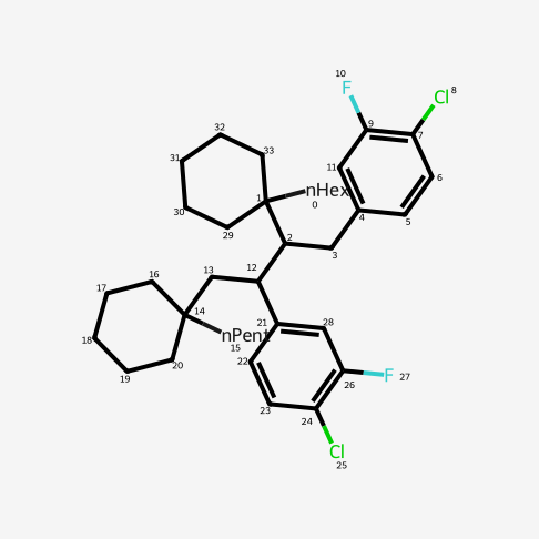 CCCCCCC1(C(Cc2ccc(Cl)c(F)c2)C(CC2(CCCCC)CCCCC2)c2ccc(Cl)c(F)c2)CCCCC1